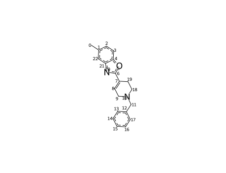 Cc1ccc2oc(C3=CCN(Cc4ccccc4)CC3)nc2c1